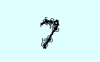 C=C(C)C(=O)OCCNC(=O)OCCCCCOC(=O)NCC1(C)CC(NC(=O)OCC(F)(F)OCCF)CC(C)(C)C1